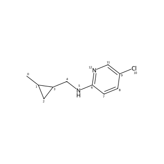 CC1CC1CNc1ccc(Cl)cn1